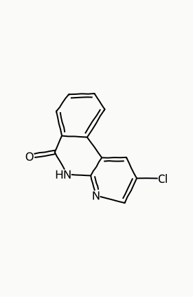 O=c1[nH]c2ncc(Cl)cc2c2ccccc12